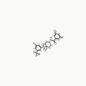 O=C(N[C@H]1CC[C@@](F)(S(=O)(=O)c2cc(F)cc(C(F)(F)F)c2)CC1)c1cc(F)cc(Cl)c1